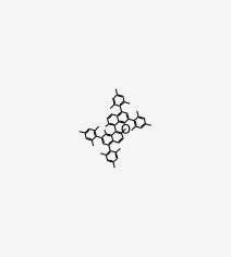 Cc1cc(C)c(-c2cc(-c3c(C)cc(C)cc3C)c3ccc4c(c3c2C)-c2c(C)ccc3c(-c5c(C)cc(C)cc5C)cc(-c5c(C)cc(C)cc5C)c(c23)O4)c(C)c1